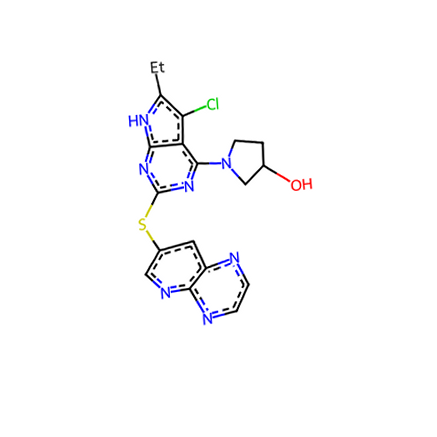 CCc1[nH]c2nc(Sc3cnc4nccnc4c3)nc(N3CCC(O)C3)c2c1Cl